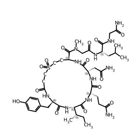 CC[C@H](C)[C@@H]1NC(=O)[C@@H](Cc2ccc(O)cc2)NC(=O)CCS(=O)(=O)CC[C@@H](C(=O)N(C)CC(=O)N[C@@H](CC(C)C)C(=O)NCC(N)=O)NC(=O)[C@H](CC(N)=O)NC(=O)[C@H](CCC(N)=O)NC1=O